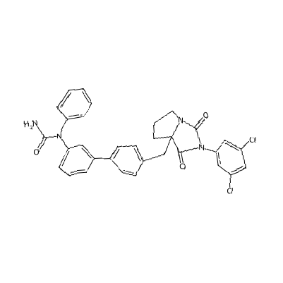 NC(=O)N(c1ccccc1)c1cccc(-c2ccc(CC34CCCN3C(=O)N(c3cc(Cl)cc(Cl)c3)C4=O)cc2)c1